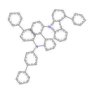 c1ccc(-c2ccc(N(c3ccc(-c4ccccc4)cc3)c3ccccc3-c3ccccc3-n3c4ccccc4c4c(-c5ccccc5)cccc43)cc2)cc1